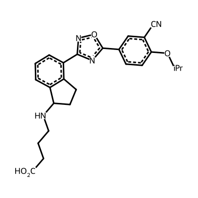 CC(C)Oc1ccc(-c2nc(-c3cccc4c3CCC4NCCCC(=O)O)no2)cc1C#N